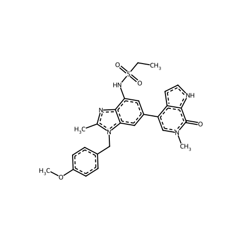 CCS(=O)(=O)Nc1cc(-c2cn(C)c(=O)c3[nH]ccc23)cc2c1nc(C)n2Cc1ccc(OC)cc1